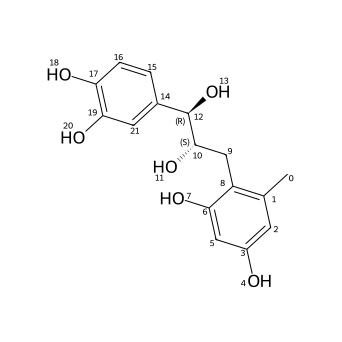 Cc1cc(O)cc(O)c1C[C@H](O)[C@H](O)c1ccc(O)c(O)c1